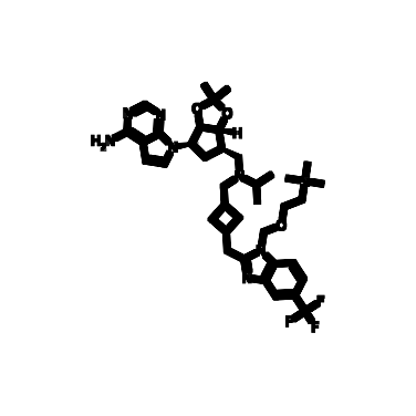 CC(C)N(CC1CC(Cc2nc3cc(C(F)(F)F)ccc3n2COCC[Si](C)(C)C)C1)C[C@H]1C[C@@H](n2ccc3c(N)ncnc32)C2OC(C)(C)O[C@@H]21